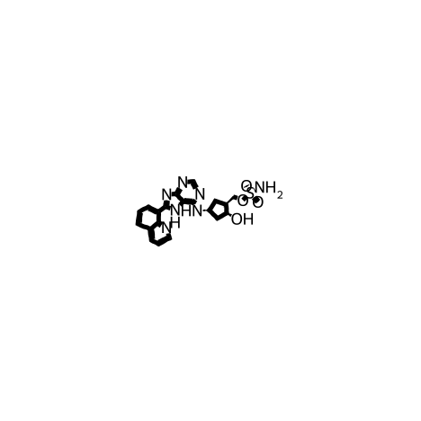 NS(=O)(=O)OC[C@@H]1C[C@@H](Nc2ncnc3nc(-c4cccc5cccnc45)[nH]c23)C[C@@H]1O